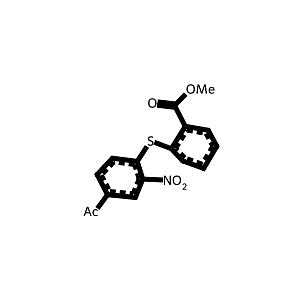 COC(=O)c1ccccc1Sc1ccc(C(C)=O)cc1[N+](=O)[O-]